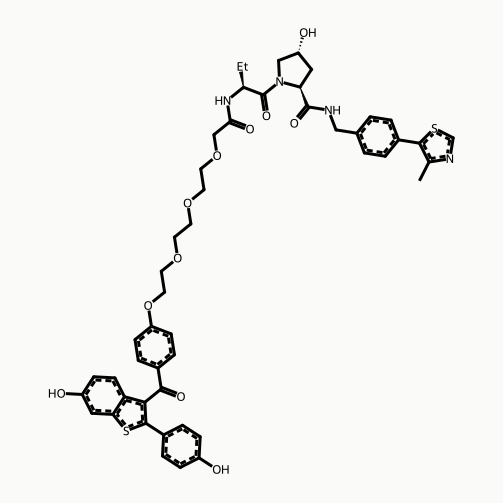 CC[C@H](NC(=O)COCCOCCOCCOc1ccc(C(=O)c2c(-c3ccc(O)cc3)sc3cc(O)ccc23)cc1)C(=O)N1C[C@H](O)C[C@H]1C(=O)NCc1ccc(-c2scnc2C)cc1